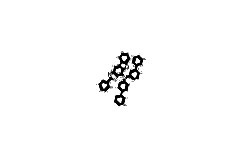 c1ccc(-c2ccc(N(c3cccc(-c4ccccc4)c3)c3c4oc(-c5ccccc5)nc4cc4c3oc3ccccc34)cc2)cc1